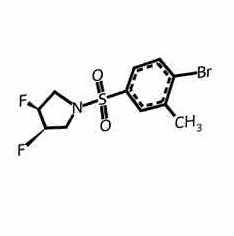 Cc1cc(S(=O)(=O)N2C[C@@H](F)[C@@H](F)C2)ccc1Br